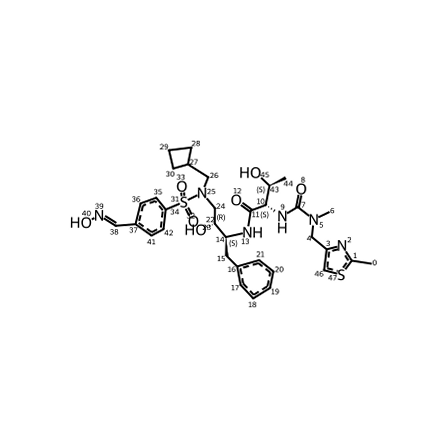 Cc1nc(CN(C)C(=O)N[C@H](C(=O)N[C@@H](Cc2ccccc2)[C@H](O)CN(CC2CCC2)S(=O)(=O)c2ccc(C=NO)cc2)[C@H](C)O)cs1